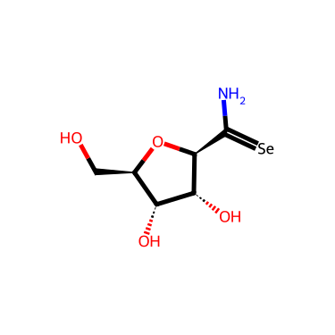 NC(=[Se])[C@@H]1O[C@H](CO)[C@@H](O)[C@H]1O